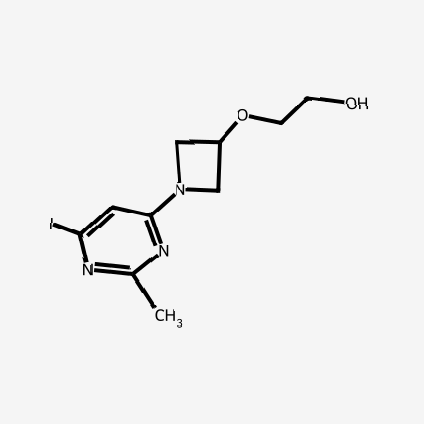 Cc1nc(I)cc(N2CC(OCCO)C2)n1